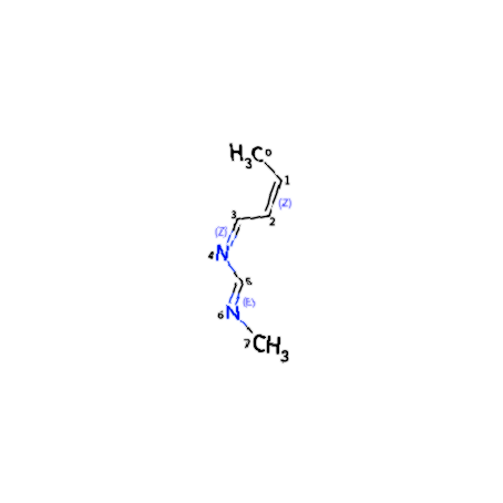 C\C=C/C=N\C=N\C